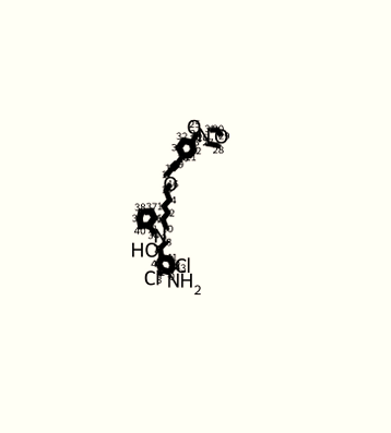 Nc1c(Cl)cc(C(O)CN(CCCCCCOCC#Cc2ccc(C(=O)N3CCOCC3)cc2)Cc2ccccc2)cc1Cl